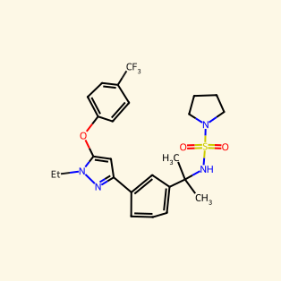 CCn1nc(-c2cccc(C(C)(C)NS(=O)(=O)N3CCCC3)c2)cc1Oc1ccc(C(F)(F)F)cc1